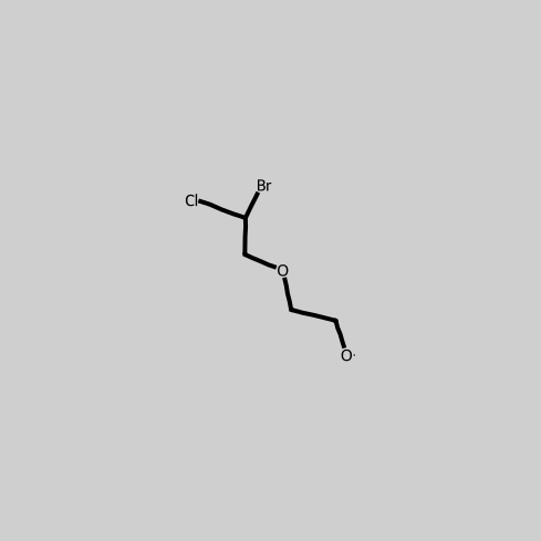 [O]CCOCC(Cl)Br